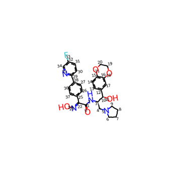 O=C(N[C@H](CN1CCCC1)[C@H](O)c1ccc2c(c1)OCCO2)/C(=N/O)c1ccc(-c2ccc(F)cn2)cc1